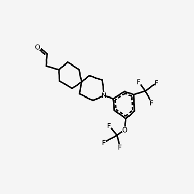 O=CCC1CCC2(CC1)CCN(c1cc(OC(F)(F)F)cc(C(F)(F)F)c1)CC2